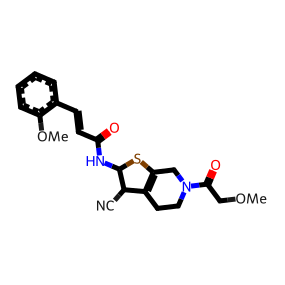 COCC(=O)N1CCC2=C(C1)SC(NC(=O)/C=C/c1ccccc1OC)C2C#N